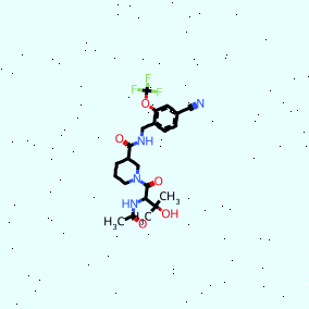 CC(=O)NC(C(=O)N1CCCC(C(=O)NCc2ccc(C#N)cc2OC(F)(F)F)C1)C(C)(C)O